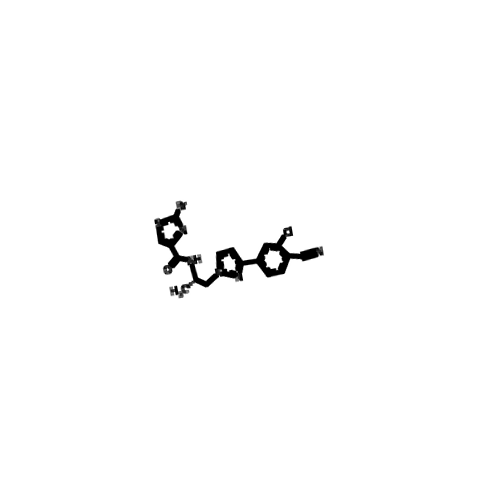 C[C@@H](Cn1ccc(-c2ccc(C#N)c(Cl)c2)n1)NC(=O)c1csc(Br)n1